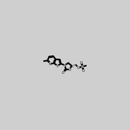 Cc1ccc2cc(N3C[C@H](COS(C)(=O)=O)OC3=O)sc2n1